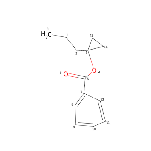 CCCC1(OC(=O)c2ccccc2)CC1